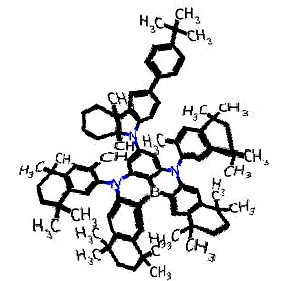 Cc1cc2c(cc1N1c3cc4c(cc3B3c5cc6c(cc5N(c5cc7c(cc5C)C(C)(C)CC7(C)C)c5cc(N7c8ccc(-c9ccc(C(C)(C)C)cc9)cc8C8(C)CCCCC78C)cc1c53)C(C)(C)CCC6(C)C)C(C)(C)CCC4(C)C)C(C)(C)CCC2(C)C